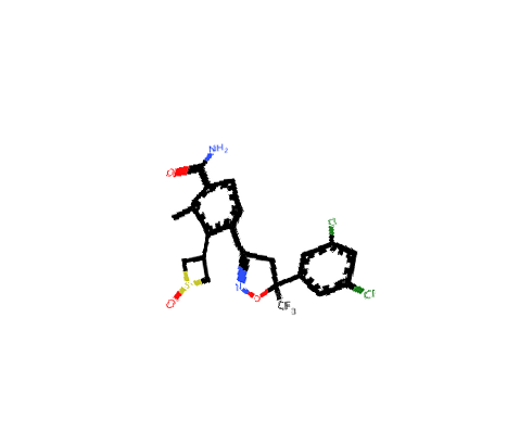 Cc1c(C(N)=O)ccc(C2=NOC(c3cc(Cl)cc(Cl)c3)(C(F)(F)F)C2)c1C1C[S+]([O-])C1